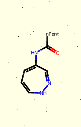 CCCCCC(=O)NC1=CC=CNN=C1